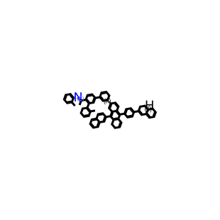 CC1=C(c2cc(C3=C[C@H](c4ccc5c(-c6ccc(C7=CC8=CC=CC[C@@H]8CC7)cc6)c6c(c(-c7ccc8ccccc8c7)c5c4)CCC=C6)CC=C3)ccc2/C(C)=N/c2ccccc2C)CCC=C1